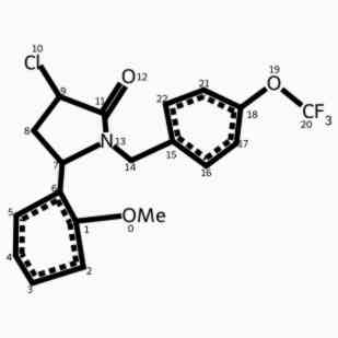 COc1ccccc1C1CC(Cl)C(=O)N1Cc1ccc(OC(F)(F)F)cc1